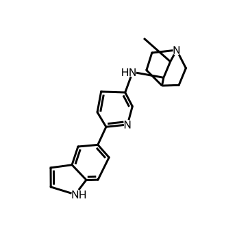 CC1C(Nc2ccc(-c3ccc4[nH]ccc4c3)nc2)C2CCN1CC2